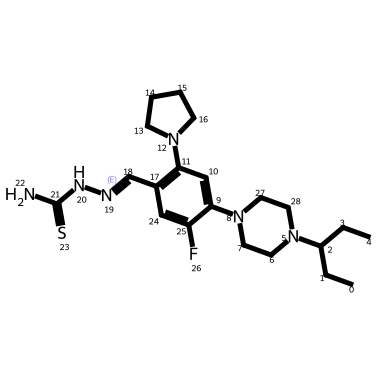 CCC(CC)N1CCN(c2cc(N3CCCC3)c(/C=N/NC(N)=S)cc2F)CC1